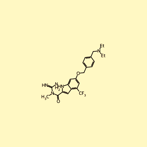 CCN(CC)Cc1ccc(COc2cc(C(F)(F)F)c3cc(C(=O)N(C)C(=N)N)[nH]c3c2)cc1